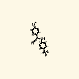 COc1ccc(C(C#N)Nc2ccc(C(F)(F)F)cc2)cc1